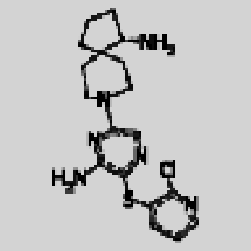 Nc1nc(N2CCC3(CCC[C@H]3N)CC2)cnc1Sc1cccnc1Cl